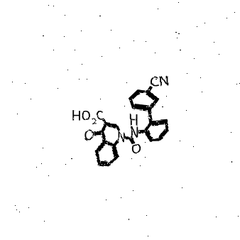 N#Cc1cccc(-c2ccccc2NC(=O)n2cc(C(=O)O)c(=O)c3ccccc32)c1